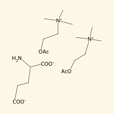 CC(=O)OCC[N+](C)(C)C.CC(=O)OCC[N+](C)(C)C.NC(CCC(=O)[O-])C(=O)[O-]